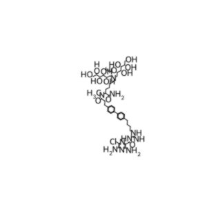 CN(C(=O)CCc1ccc(-c2ccc(CCCCNC(=N)NC(=O)c3nc(Cl)c(N)nc3N)cc2)cc1)C(CCCCN(CC(O)C(O)C(O)C(O)CO)CC(O)C(O)C(O)C(O)CO)C(N)=O